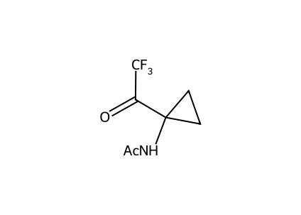 CC(=O)NC1(C(=O)C(F)(F)F)CC1